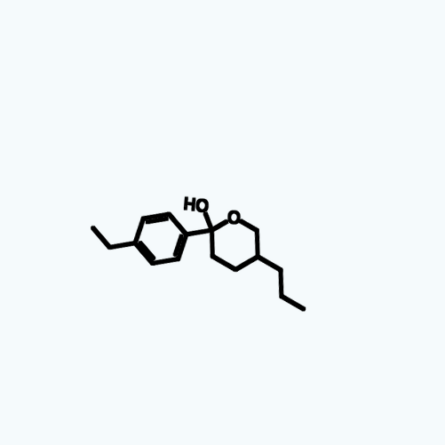 CCCC1CCC(O)(c2ccc(CC)cc2)OC1